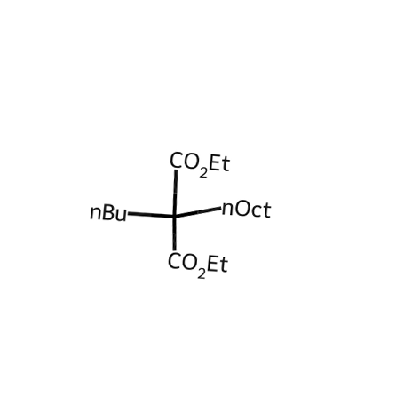 CCCCCCCCC(CCCC)(C(=O)OCC)C(=O)OCC